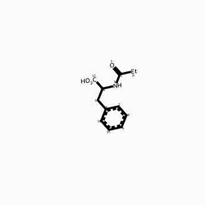 CCC(=O)NC(Cc1ccccc1)C(=O)O